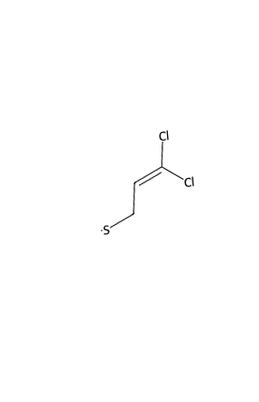 [S]CC=C(Cl)Cl